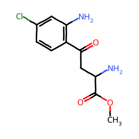 COC(=O)C(N)CC(=O)c1ccc(Cl)cc1N